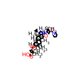 CC1([C@@H]2CC[C@]3(C(=O)N[C@@H]4C[C@H](C(=O)N5CCCCC5)C4(C)C)CC[C@]4(C)[C@H](CC[C@@H]5[C@@]6(C)CC[C@H](OC(=O)[C@H]7C[C@@H](C(=O)O)C7(C)C)C(C)(C)[C@@H]6CC[C@]54C)[C@@H]23)CC1